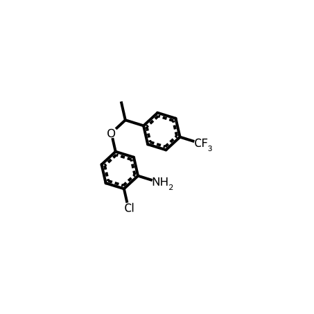 CC(Oc1ccc(Cl)c(N)c1)c1ccc(C(F)(F)F)cc1